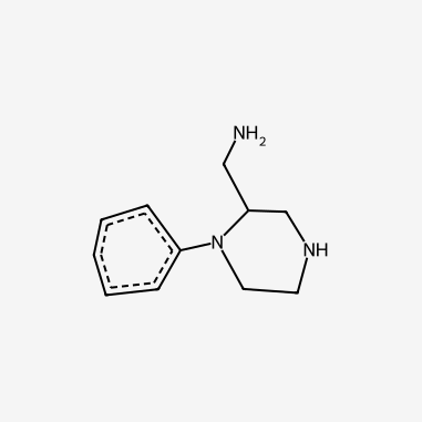 NCC1CNCCN1c1ccccc1